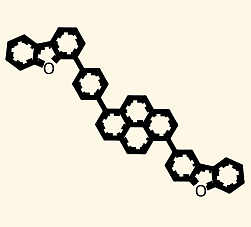 c1ccc2c(c1)oc1ccc(-c3ccc4ccc5c(-c6ccc(-c7cccc8c7oc7ccccc78)cc6)ccc6ccc3c4c65)cc12